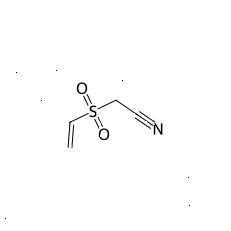 C=CS(=O)(=O)CC#N